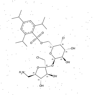 CC(C)c1cc(C(C)C)c(S(=O)(=O)OC[C@H]2O[C@H](O[C@]3(CCl)O[C@H](CN)[C@@H](O)[C@@H]3O)[C@H](O)[C@@H](O)[C@H]2Cl)c(C(C)C)c1